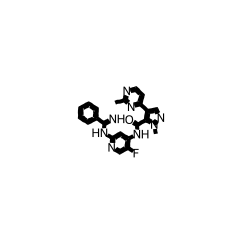 Cc1nccc(-c2cnn(C)c2C(=O)Nc2cc(NC(=N)c3ccccc3)ncc2F)n1